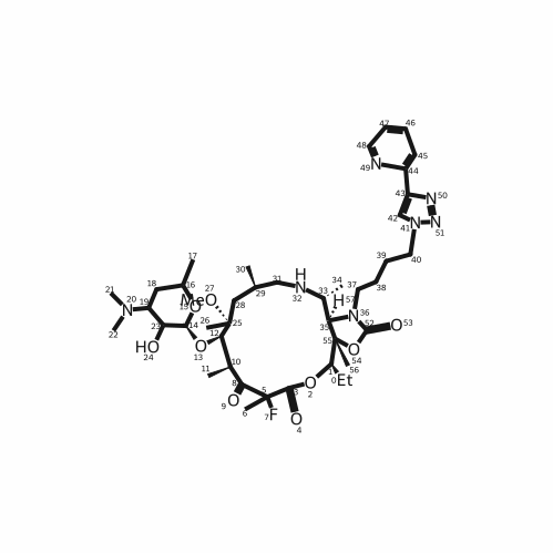 CC[C@H]1OC(=O)C(C)(F)C(=O)[C@@H](C)[C@@H](O[C@@H]2OC(C)CC(N(C)C)C2O)[C@](C)(OC)C[C@@H](C)CN[C@H](C)[C@H]2N(CCCCn3cc(-c4ccccn4)nn3)C(=O)O[C@]12C